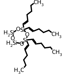 CCCCC=C[Si]1(C=CCCCC)O[SiH2]O[SiH2]O[Si](C=CCCCC)(C=CCCCC)O1